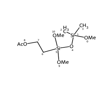 CO[Si](C)(C)O[Si](CCOC(C)=O)(OC)OC